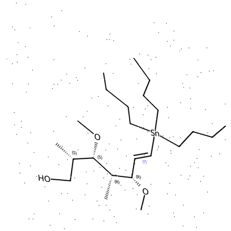 CCC[CH2][Sn](/[CH]=C/[C@H](OC)[C@H](C)[C@@H](OC)[C@@H](C)CO)([CH2]CCC)[CH2]CCC